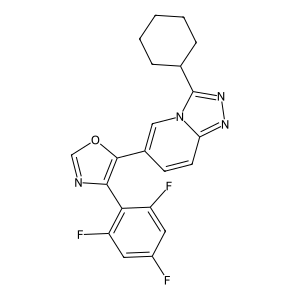 Fc1cc(F)c(-c2ncoc2-c2ccc3nnc(C4CCCCC4)n3c2)c(F)c1